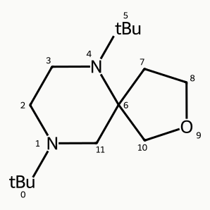 CC(C)(C)N1CCN(C(C)(C)C)C2(CCOC2)C1